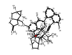 C=C1CN2C[C@H]3C[C@H]3C2(COc2nc3c4c(nc(-c5cccc6ccc(F)c(C#C[Si](C(C)C)(C(C)C)C(C)C)c56)c(F)c4n2)OC(C)C2C4CCC(CN32)N4C(=O)O)C1